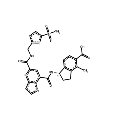 Cc1c(C(=O)O)ccc2c1CC[C@@H]2NC(=O)c1cc(C(=O)NCc2ccc(S(N)(=O)=O)s2)nc2ccnn12